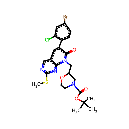 CSc1ncc2cc(-c3ccc(Br)cc3Cl)c(=O)n(CC3CN(C(=O)OC(C)(C)C)CCO3)c2n1